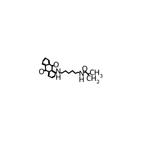 C=C(C)C(=O)NCCCCCCNc1cccc2c1C(=O)c1ccccc1C2=O